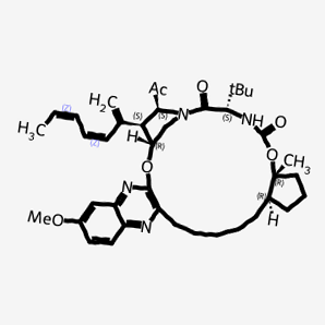 C=C(/C=C\C=C/C)[C@@H]1[C@@H]2CN(C(=O)[C@H](C(C)(C)C)NC(=O)O[C@]3(C)CCC[C@H]3CCCCCc3nc4ccc(OC)cc4nc3O2)[C@@H]1C(C)=O